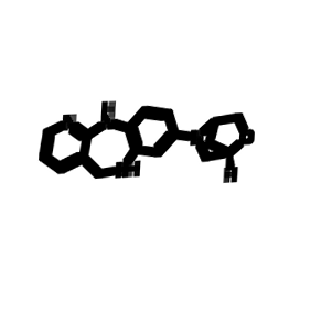 c1cnc2c(c1)CNc1cc(N3C[C@@H]4CC3CO4)ccc1N2